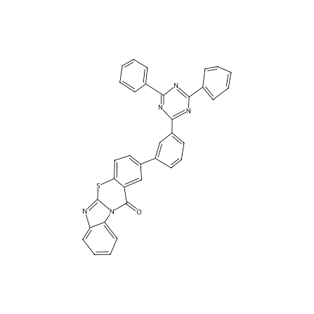 O=c1c2cc(-c3cccc(-c4nc(-c5ccccc5)nc(-c5ccccc5)n4)c3)ccc2sc2nc3ccccc3n12